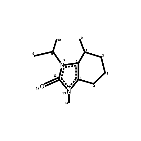 CC1CCCc2c1n(C(C)C)c(=O)n2C